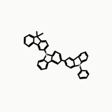 CC1(C)c2ccccc2-c2cc(-n3c4ccccc4c4cc(-c5ccc6c(c5)c5ccccc5n6-c5ccccc5)ccc43)ccc21